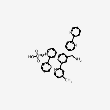 Cc1ccnc(-c2cc(CN)ccn2)c1.[O-][Cl+3]([O-])([O-])O.c1ccc(-c2ccccn2)nc1.c1ccc(-c2ccccn2)nc1